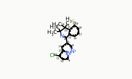 CC1(C)N=C(c2cnn3ccc(Cl)c3c2)c2cccc(F)c2C1(C)C